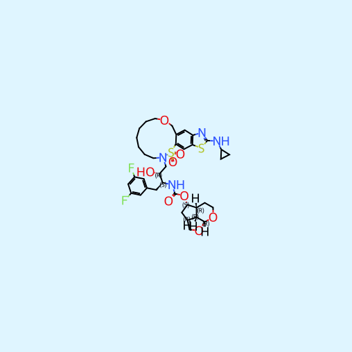 O=C(N[C@@H](Cc1cc(F)cc(F)c1)[C@H](O)CN1CCCCCCCOCc2cc3nc(NC4CC4)sc3cc2S1(=O)=O)O[C@H]1C[C@H]2CO[C@H]3OCC[C@@H]1[C@@H]23